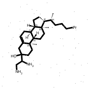 CC(C)CCC[C@@H](C)[C@H]1CC[C@H]2[C@@H]3CC=C4CC(O)(C(N)CN)CC[C@]4(C)[C@H]3CC[C@]12C